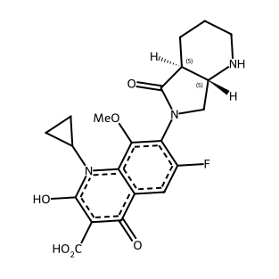 COc1c(N2C[C@H]3NCCC[C@@H]3C2=O)c(F)cc2c(=O)c(C(=O)O)c(O)n(C3CC3)c12